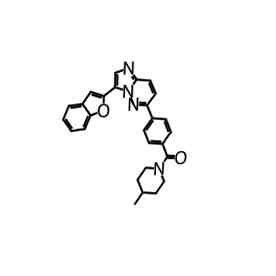 CC1CCN(C(=O)c2ccc(-c3ccc4ncc(-c5cc6ccccc6o5)n4n3)cc2)CC1